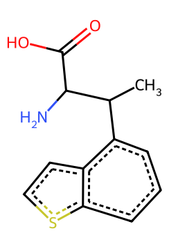 CC(c1cccc2sccc12)C(N)C(=O)O